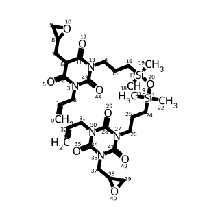 C=CCN1C(=O)C(CC2CO2)C(=O)N(CCC[Si](C)(C)O[Si](C)(C)CCCn2c(=O)n(CC=C)c(=O)n(CC3CO3)c2=O)C1=O